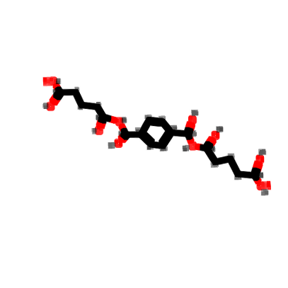 O=C(O)CCCC(=O)OC(=O)c1ccc(C(=O)OC(=O)CCCC(=O)O)cc1